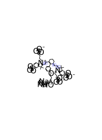 CC1(C)C(/C=C/C2=C(c3cccc(OCCCCO)c3)C(=C/C=C3\N(CCCCS(=O)(=O)[O-])c4ccc(S(=O)(=O)[O-])cc4C3(C)C)/CCC2)=[N+](CCCCS(=O)(=O)[O-])c2ccc(S(=O)(=O)[O-])cc21.[Na+].[Na+].[Na+]